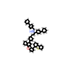 C1=CCCC(C2C=CC(CN/C(=C\CC3C=CC(c4cc5c(c6c4CCCC6)OC4C=CC=C(C6=C7SC8C=CCCC8C7=CCC6)C54)=CC3)C3C=CC(C4C=CC=CC4)=CC3)=CC2)=C1